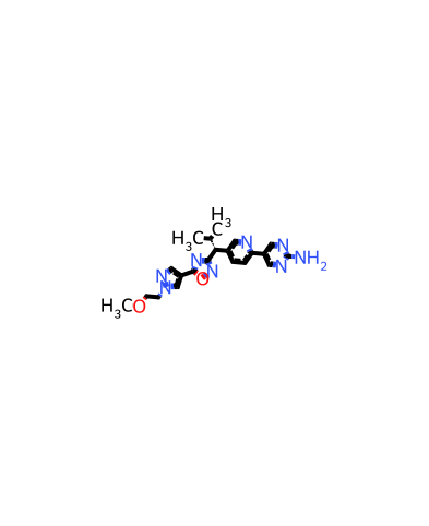 COCCn1cc(-c2nc([C@@H](c3ccc(-c4cnc(N)nc4)nc3)C(C)C)no2)cn1